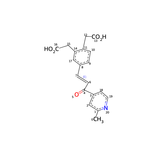 Cc1cc(C(=O)/C=C/c2ccc(CC(=O)O)c(CC(=O)O)c2)ccn1